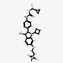 C[C@@H](OC(=O)Nc1ccc(C2C(C#N)c3ccc(OCCS(C)(=O)=O)cc3N2C2CCC2)cc1)C1CC1